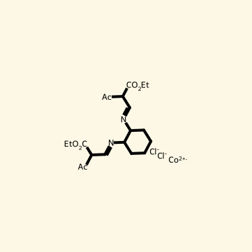 CCOC(=O)C(C=NC1CCCCC1N=CC(C(C)=O)C(=O)OCC)C(C)=O.[Cl-].[Cl-].[Co+2]